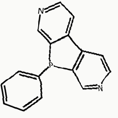 c1ccc(-p2c3cnccc3c3ccncc32)cc1